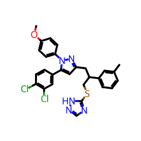 COc1ccc(-n2nc(CC(CSc3ncn[nH]3)c3cccc(C)c3)cc2-c2ccc(Cl)c(Cl)c2)cc1